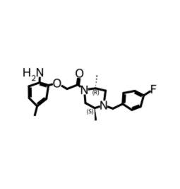 Cc1ccc(N)c(OCC(=O)N2C[C@H](C)N(Cc3ccc(F)cc3)C[C@H]2C)c1